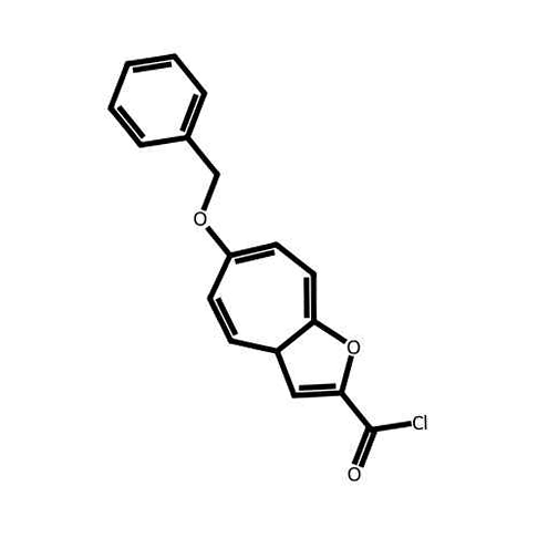 O=C(Cl)C1=CC2C=CC(OCc3ccccc3)=CC=C2O1